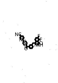 N#Cc1ccc(N2CCN(C(=O)c3cccc(Cc4n[nH]c(=O)c5c(F)c(F)ccc45)c3)CC2)nc1